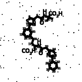 CC(C)(NC(=O)Cc1csc(-c2cccc(CCC(NC(=O)Cc3csc(-c4ccccc4)n3)C(=O)O)c2)n1)C(=O)O